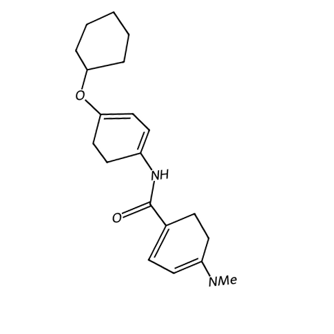 CNC1=CC=C(C(=O)NC2=CC=C(OC3CCCCC3)CC2)CC1